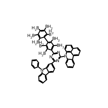 Bc1c(B)c(B)c(-c2c(B)c(B)c(-c3nc(-c4ccc5c6ccccc6n(-c6ccccc6)c5c4)nc(N4c5ccccc5-c5cccc6cccc4c56)n3)c(B)c2B)c(B)c1B